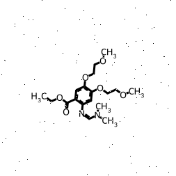 CCOC(=O)c1cc(OCCOC)c(OCCOC)cc1/N=C\N(C)C